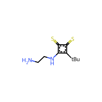 CC(C)(C)c1c(NCCN)c(=S)c1=S